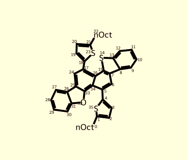 CCCCCCCCc1ccc(-c2cc3c4ccccc4sc3c3c(-c4ccc(CCCCCCCC)s4)cc4c5ccccc5oc4c23)s1